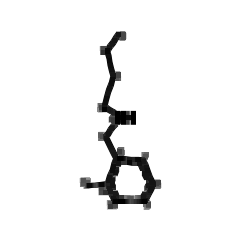 CCC[CH]NCc1ccccc1C